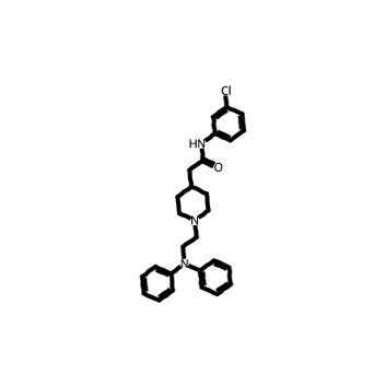 O=C(CC1CCN(CCN(c2ccccc2)c2ccccc2)CC1)Nc1cccc(Cl)c1